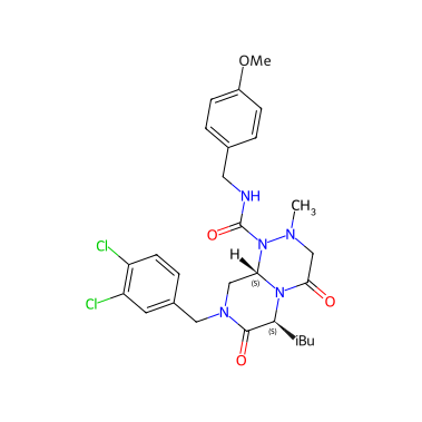 CCC(C)[C@H]1C(=O)N(Cc2ccc(Cl)c(Cl)c2)C[C@H]2N1C(=O)CN(C)N2C(=O)NCc1ccc(OC)cc1